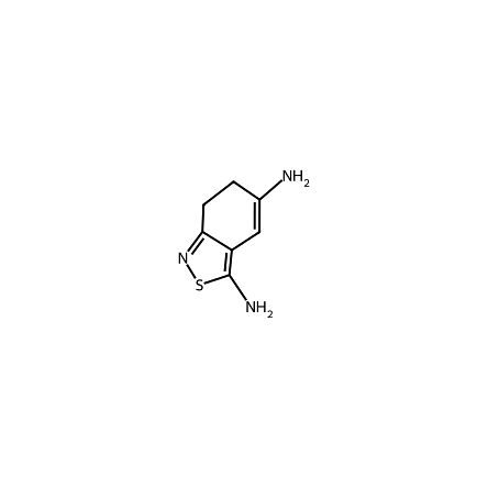 NC1=Cc2c(nsc2N)CC1